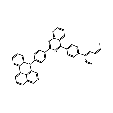 C=N/C(=C\C=C/C)c1ccc(-c2nc(-c3ccc(N4c5ccccc5-c5cccc6cccc4c56)cc3)nc3ccccc23)cc1